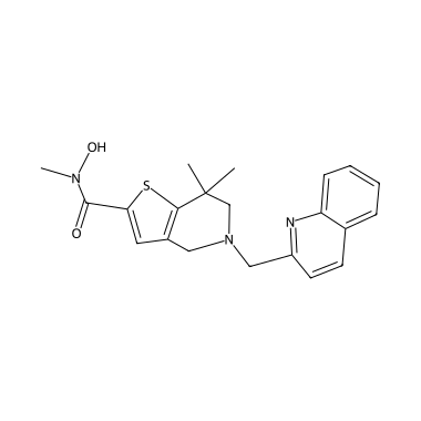 CN(O)C(=O)c1cc2c(s1)C(C)(C)CN(Cc1ccc3ccccc3n1)C2